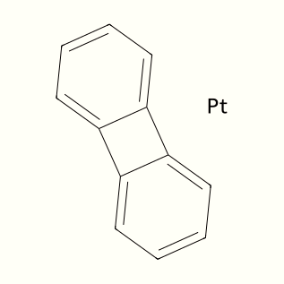 [Pt].c1ccc2c(c1)-c1ccccc1-2